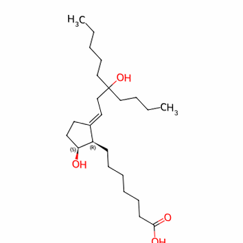 CCCCCC(O)(CC=C1CC[C@H](O)[C@@H]1CCCCCCC(=O)O)CCCC